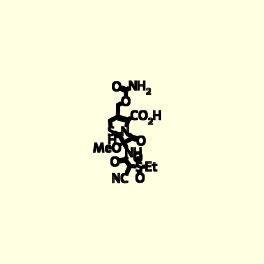 CCS(=O)(=O)C(C#N)C(=O)N[C@]1(OC)C(=O)N2C(C(=O)O)=C(COC(N)=O)CS[C@H]21